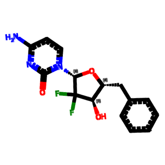 Nc1ccn([C@@H]2O[C@H](Cc3cc[c]cc3)[C@@H](O)C2(F)F)c(=O)n1